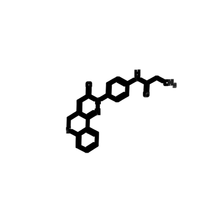 CCC(=O)Nc1ccc(-n2nc3c(cc2=O)CSc2ccccc2-3)cc1